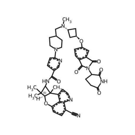 CN(CC1CCN(c2ccc(C(=O)NC3C(C)(C)[C@@H]4Oc5ccc(C#N)c6nccc(c56)C34C)cn2)CC1)[C@H]1C[C@H](Oc2ccc3c(c2)C(=O)N(C2CCC(=O)NC2=O)C3=O)C1